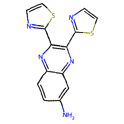 Nc1ccc2nc(-c3nccs3)c(-c3nccs3)nc2c1